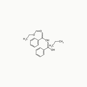 CCC.CCOC=O.OC(=S)c1ccccc1.OC(=S)c1ccccc1